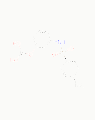 O=[N+]([O-])c1ccc(S(=O)(=O)Nc2cccc(OB(O)O)c2)cc1